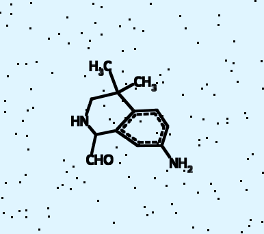 CC1(C)CNC(C=O)c2cc(N)ccc21